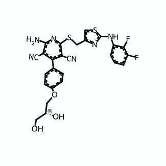 N#Cc1c(N)nc(SCc2csc(Nc3cccc(F)c3F)n2)c(C#N)c1-c1ccc(OC[C@H](O)CO)cc1